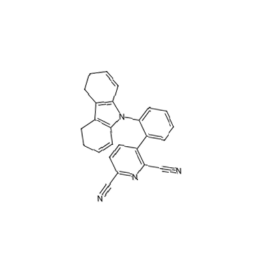 N#Cc1ccc(-c2ccccc2-n2c3c(c4c2C=CCC4)CCC=C3)c(C#N)n1